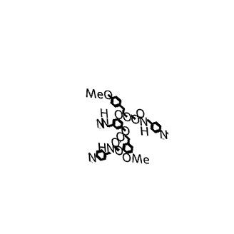 COc1ccc(CC(OCOC(=O)NCc2ccc(N(C)C)cc2)Oc2cc(CNN(C)C)cc(OC(Cc3ccc(OC)cc3)OCOC(=O)NCc3ccc(N(C)C)cc3)c2)cc1